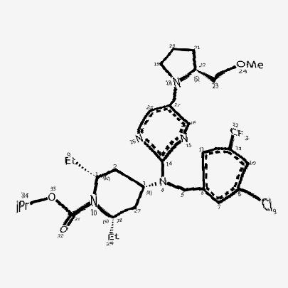 CC[C@@H]1C[C@H](N(Cc2cc(Cl)cc(C(F)(F)F)c2)c2ncc(N3CCC[C@H]3COC)cn2)C[C@H](CC)N1C(=O)OC(C)C